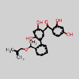 C=C(C)COC(C)c1ccccc1-c1cc(C(=O)c2ccc(O)cc2O)c(O)cc1O